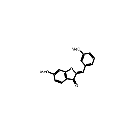 COc1cccc(/C=C2\Oc3cc(OC)ccc3C2=O)c1